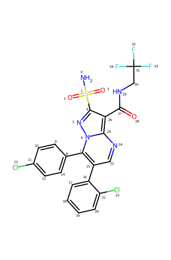 NS(=O)(=O)c1nn2c(-c3ccc(Cl)cc3)c(-c3ccccc3Cl)cnc2c1C(=O)NCC(F)(F)F